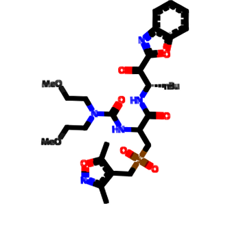 CCCC[C@H](NC(=O)C(CS(=O)(=O)Cc1c(C)noc1C)NC(=O)N(CCOC)CCOC)C(=O)c1nc2ccccc2o1